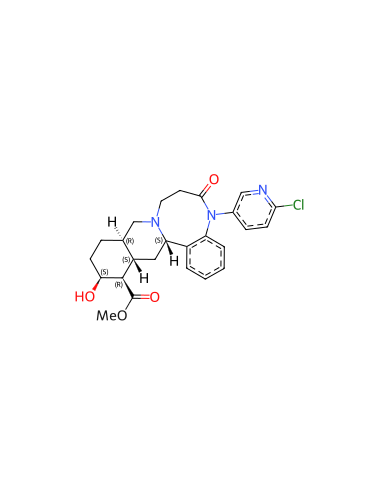 COC(=O)[C@@H]1[C@H]2C[C@H]3c4ccccc4N(c4ccc(Cl)nc4)C(=O)CCN3C[C@@H]2CC[C@@H]1O